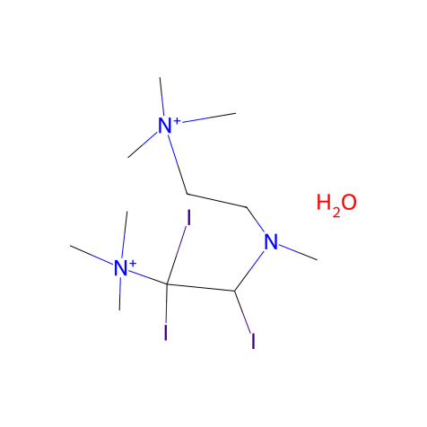 CN(CC[N+](C)(C)C)C(I)C(I)(I)[N+](C)(C)C.O